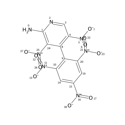 Nc1ncc([N+](=O)[O-])c(-c2c([N+](=O)[O-])cc([N+](=O)[O-])cc2[N+](=O)[O-])c1[N+](=O)[O-]